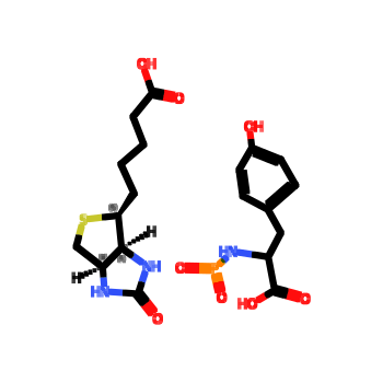 O=C(O)C(Cc1ccc(O)cc1)NP(=O)=O.O=C(O)CCCC[C@@H]1SC[C@@H]2NC(=O)N[C@@H]21